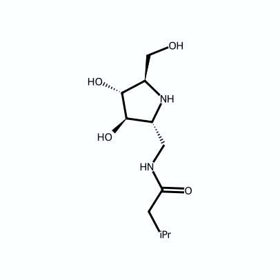 CC(C)CC(=O)NC[C@H]1N[C@H](CO)[C@@H](O)[C@@H]1O